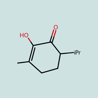 CC1=C(O)C(=O)C(C(C)C)CC1